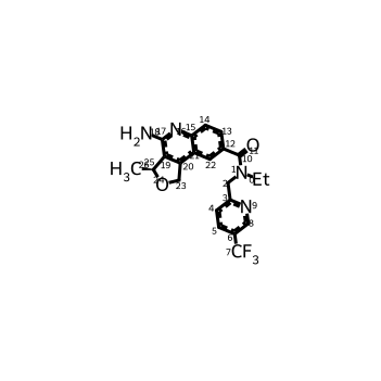 CCN(Cc1ccc(C(F)(F)F)cn1)C(=O)c1ccc2nc(N)c3c(c2c1)CO[C@H]3C